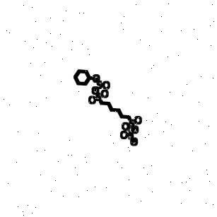 O=S(OC1CCCCC1)OS(=O)(=O)CCCCCCS(=O)(=O)O[SH](=O)=O